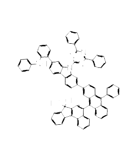 CC1(C)c2ccccc2-c2c1cc(-c1c3ccccc3c(-c3ccccc3)c3ccc(-c4ccc5c6ccc(-c7ccccc7Nc7ccccc7)cc6n(-c6nc(-c7ccccc7)nc(-c7ccccc7)n6)c5c4)cc13)c1ccccc21